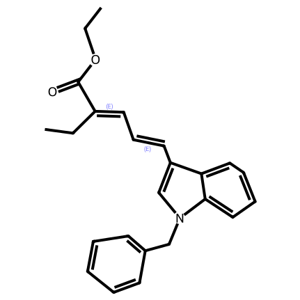 CCOC(=O)/C(=C/C=C/c1cn(Cc2ccccc2)c2ccccc12)CC